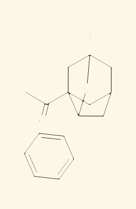 CC(=O)C12CC3C[C@](C)(C1)C[C@@]2(c1ccccc1)C3